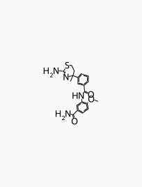 COc1ccc(C(N)=O)cc1NC(=O)c1cccc(C2(C)CCSC(N)=N2)c1